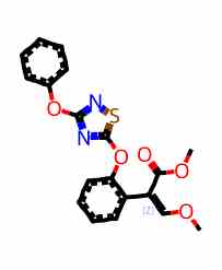 CO/C=C(\C(=O)OC)c1ccccc1Oc1nc(Oc2ccccc2)ns1